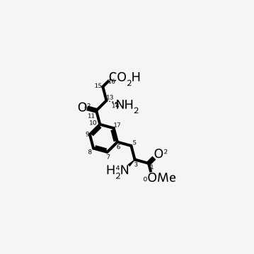 COC(=O)[C@@H](N)Cc1cccc(C(=O)[C@@H](N)CC(=O)O)c1